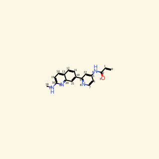 C=CC(=O)Nc1ccnc(-c2ccc3ccc(NC)nc3c2)c1